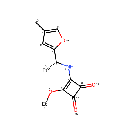 CCOc1c(N[C@H](CC)c2cc(C)co2)c(=O)c1=O